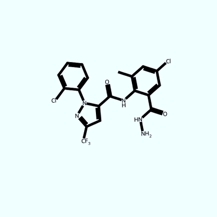 Cc1cc(Cl)cc(C(=O)NN)c1NC(=O)c1cc(C(F)(F)F)nn1-c1ccccc1Cl